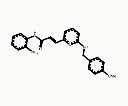 COc1ccc(CNc2cccc(C=CC(=O)Nc3ccccc3N)n2)cc1